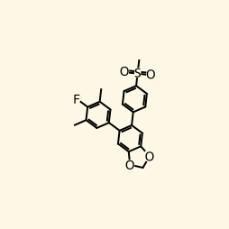 Cc1cc(-c2cc3c(cc2-c2ccc(S(C)(=O)=O)cc2)OCO3)cc(C)c1F